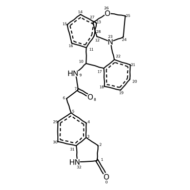 O=C1Cc2cc(CC(=O)NC(c3ccccc3)c3ccccc3N3CCOCC3)ccc2N1